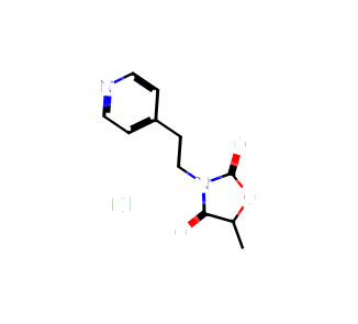 CC1OC(=O)N(CCc2ccncc2)C1=O.Cl